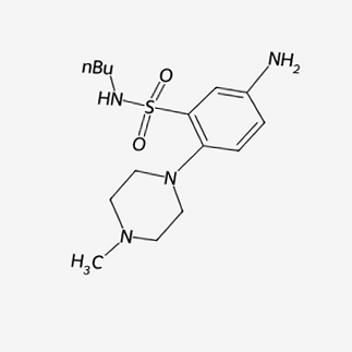 CCCCNS(=O)(=O)c1cc(N)ccc1N1CCN(C)CC1